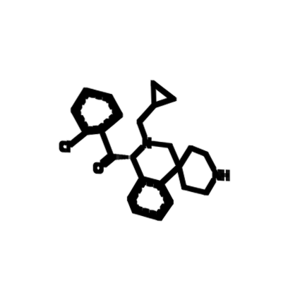 O=C(c1ccccc1Cl)[C@H]1c2ccccc2C2(CCNCC2)CN1CC1CC1